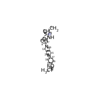 C=C/C=C(/NC(=O)CC(CO)N1CC2=C(CN(c3ccc(OC(C)(F)F)cc3)C2)C1)SC